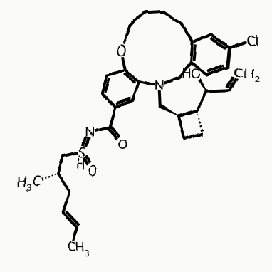 C=C[C@H](O)[C@@H]1CC[C@H]1CN1Cc2ccc(Cl)cc2CCCCOc2ccc(C(=O)/N=[SH](=O)/C[C@@H](C)C/C=C/C)cc21